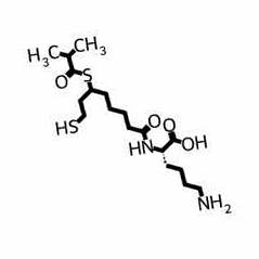 CC(C)C(=O)SC(CCS)CCCCC(=O)N[C@@H](CCCCN)C(=O)O